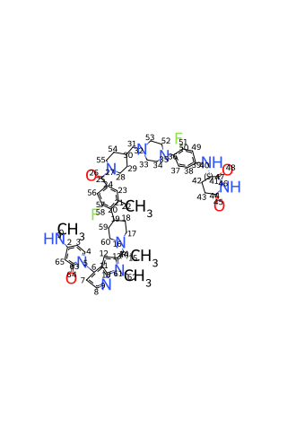 CNc1ccn(-c2ccnc3c2cc([C@@H](C)N2CCC(c4c(C)cc(C(=O)N5CCC(CN6CCN(c7ccc(N[C@H]8CCC(=O)NC8=O)cc7F)CC6)CC5)cc4F)CC2)n3C)c(=O)c1